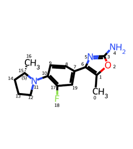 Cc1oc(N)nc1-c1ccc(N2CCC[C@@H]2C)c(F)c1